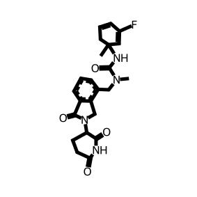 CN(Cc1cccc2c1CN(C1CCC(=O)NC1=O)C2=O)C(=O)NC1(C)C=C(F)C=CC1